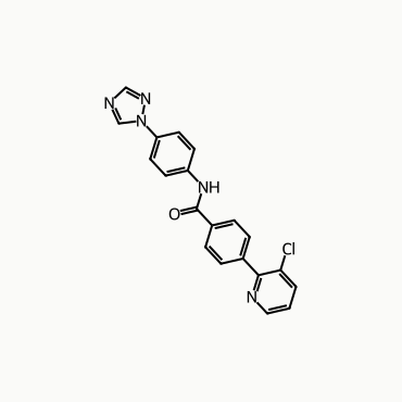 O=C(Nc1ccc(-n2cncn2)cc1)c1ccc(-c2ncccc2Cl)cc1